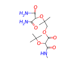 CNC(=O)C(OC(C)(C)C)C(=O)OCC(C)(C)OC(C(N)=O)C(N)=O